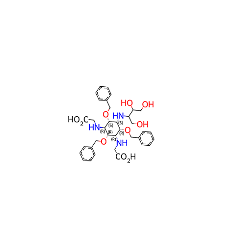 O=C(O)CN[C@@H]1[C@H](OCc2ccccc2)[C@@H](NCC(=O)O)[C@H](OCc2ccccc2)[C@H](NC(CO)C(O)CO)[C@@H]1OCc1ccccc1